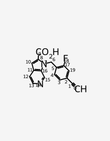 C#Cc1ccc(Cn2c(C(=O)O)cc3ccncc32)c(F)c1